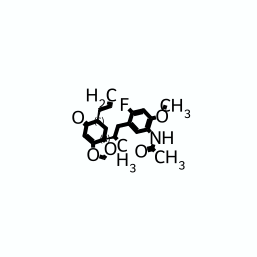 C=CC[C@H]1C[C@]2(C(C)Cc3cc(NC(C)=O)c(OC)cc3F)OCOC2=CC1=O